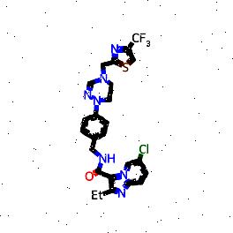 CCc1nc2ccc(Cl)cn2c1C(=O)NCc1ccc(N2CCN(Cc3nc(C(F)(F)F)cs3)C=N2)cc1